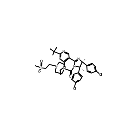 CCOc1nc(C(C)(C)C)ncc1C1=N[C@@](C)(c2ccc(Cl)cc2)[C@@](C)(c2ccc(Cl)cc2)N1C(=O)N1CCN(CCS(C)(=O)=O)CC1